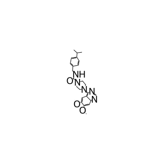 COc1cc2ncnc(N3CCN(C(=O)NCc4ccc(C(C)C)cc4)CC3)c2cc1OC